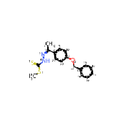 CSC(=S)N/N=C(/C)c1ccc(OCc2ccccc2)cc1